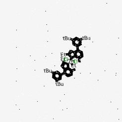 CCC1=Cc2c(-c3cc(C(C)(C)C)cc(C(C)(C)C)c3)ccc(C)c2[CH]1[Zr]([Cl])([Cl])([CH2]C)[CH]1C(CC)=Cc2c(-c3cc(C(C)(C)C)cc(C(C)(C)C)c3)ccc(C)c21